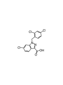 O=C(O)c1nn(Cc2ccc(Cl)cc2Cl)c2cc(Cl)ccc12